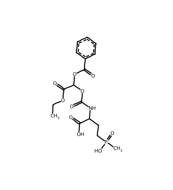 CCOC(=O)C(OC(=O)NC(CCP(C)(=O)O)C(=O)O)OC(=O)c1ccccc1